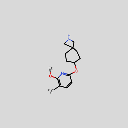 CCOc1nc(OC2CCC3(CC2)CNC3)ccc1C(F)(F)F